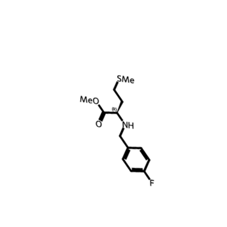 COC(=O)[C@@H](CCSC)NCc1ccc(F)cc1